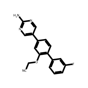 N#CCOc1cc(-c2cnc(N)nc2)ccc1-c1cccc(F)c1